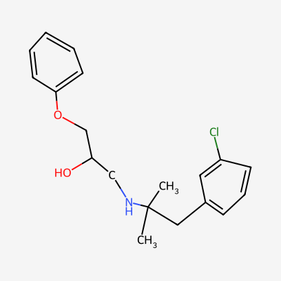 CC(C)(Cc1cccc(Cl)c1)NCC(O)COc1ccccc1